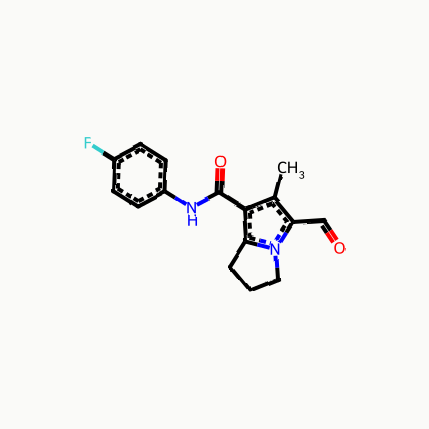 Cc1c(C(=O)Nc2ccc(F)cc2)c2n(c1C=O)CCC2